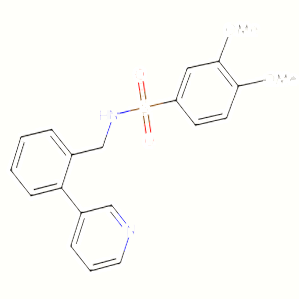 COc1ccc(S(=O)(=O)NCc2ccccc2-c2cccnc2)cc1OC